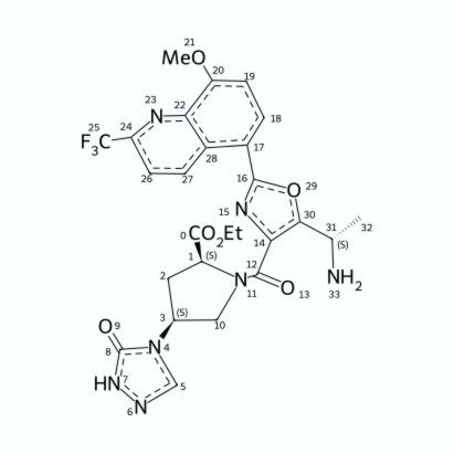 CCOC(=O)[C@@H]1C[C@H](n2cn[nH]c2=O)CN1C(=O)c1nc(-c2ccc(OC)c3nc(C(F)(F)F)ccc23)oc1[C@H](C)N